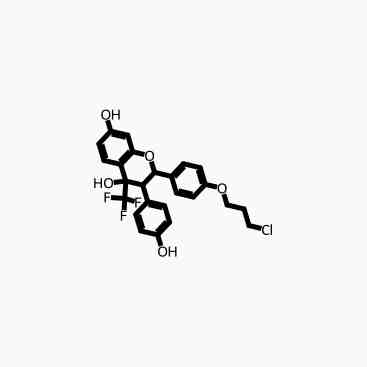 Oc1ccc(C2C(c3ccc(OCCCCl)cc3)Oc3cc(O)ccc3C2(O)C(F)(F)F)cc1